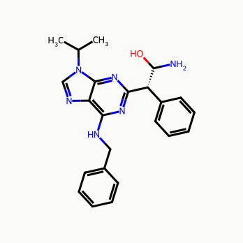 CC(C)n1cnc2c(NCc3ccccc3)nc([C@@H](c3ccccc3)C(N)O)nc21